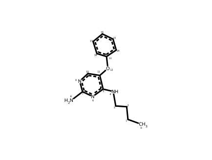 CCCCNc1nc(N)ncc1Oc1ccccc1